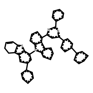 C1=Cc2sc3c(-n4c5ccccc5c5c(-c6cc(-c7ccc(-c8ccccc8)cc7)nc(-c7ccccc7)n6)cccc54)cc(-c4ccccc4)cc3c2CC1